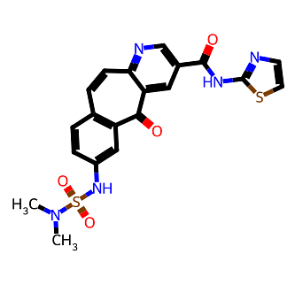 CN(C)S(=O)(=O)Nc1ccc2ccc3ncc(C(=O)Nc4nccs4)cc3c(=O)c2c1